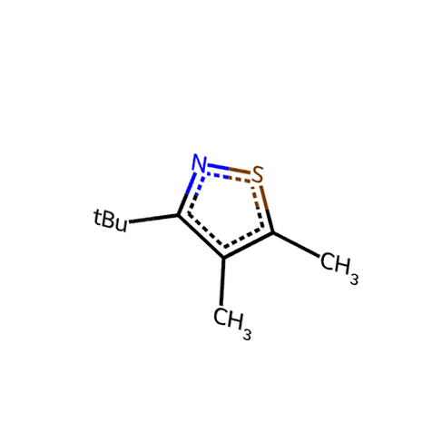 Cc1snc(C(C)(C)C)c1C